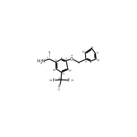 C[C@@H](N)c1cc(OCc2ccccc2)cc(C(F)(F)F)c1